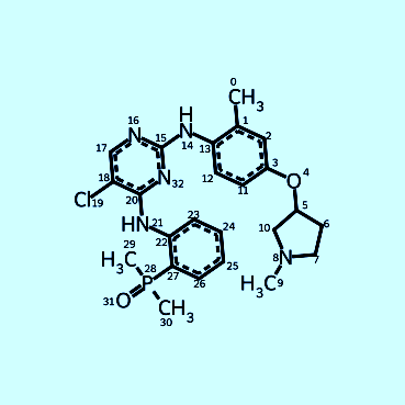 Cc1cc(OC2CCN(C)C2)ccc1Nc1ncc(Cl)c(Nc2ccccc2P(C)(C)=O)n1